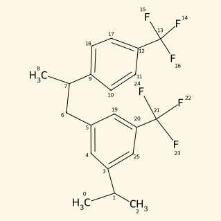 CC(C)c1cc(CC(C)c2ccc(C(F)(F)F)cc2)cc(C(F)(F)F)c1